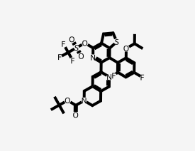 CC(C)Oc1cc(F)cc(F)c1-c1c(-c2cc3c(cn2)CCN(C(=O)OC(C)(C)C)C3)nc(OS(=O)(=O)C(F)(F)F)c2ccsc12